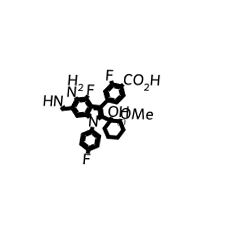 CO[C@H]1CCCCC1(O)c1c(-c2ccc(C(=O)O)c(F)c2)c2c(F)c(N)c(C=N)cc2n1-c1ccc(F)cc1